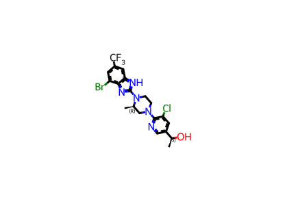 C[C@H](O)c1cnc(N2CCN(c3nc4c(Br)cc(C(F)(F)F)cc4[nH]3)[C@H](C)C2)c(Cl)c1